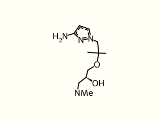 CNC[C@H](O)COC(C)(C)Cn1ccc(N)n1